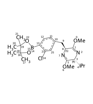 COC1=N[C@H](C(C)C)C(OC)=N[C@H]1Cc1ccc(B2OC(C)(C)C(C)(C)O2)c(Cl)c1